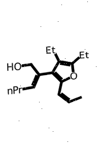 C/C=C\c1oc(CC)c(CC)c1/C(=C/CCC)CO